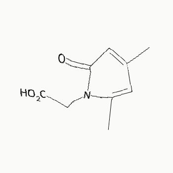 Cc1cc(C)n(CC(=O)O)c(=O)c1